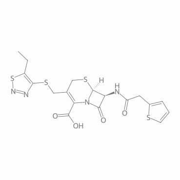 CCc1snnc1SCC1=C(C(=O)O)N2C(=O)[C@H](NC(=O)Cc3cccs3)[C@@H]2SC1